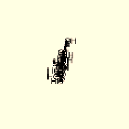 CSc1nc(NC(=O)NC(=O)CCCCO)c2ncn([C@@H]3O[C@H](CO)[C@@H](O)[C@H]3O)c2n1